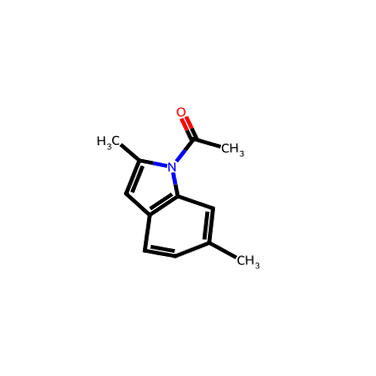 CC(=O)n1c(C)cc2ccc(C)cc21